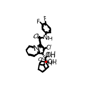 O=C(Nc1ccc(F)c(F)c1)c1c(Cl)c(S(=O)(=O)NC2C3CCC2CC(O)(CO)C3)c2n1CCC=C2